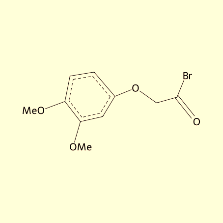 COc1ccc(OCC(=O)Br)cc1OC